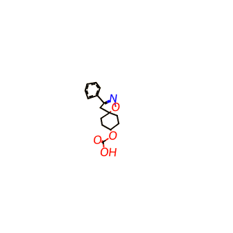 O=C(O)OC1CCC2(CC1)CC(c1ccccc1)=NO2